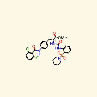 COC(=O)[C@H](Cc1ccc(NC(=O)c2c(Cl)cccc2Cl)cc1)NC(=O)Nc1ccccc1S(=O)(=O)N1CCCCC1